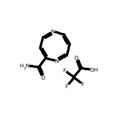 NC(=O)C1=CC=NC=CC=N1.O=C(O)C(F)(F)F